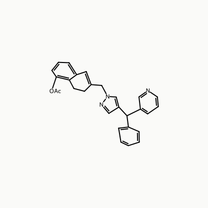 CC(=O)Oc1cccc2c1CCC(Cn1cc(C(c3ccccc3)c3cccnc3)cn1)=C2